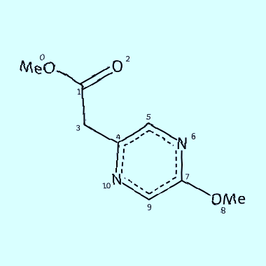 COC(=O)Cc1cnc(OC)cn1